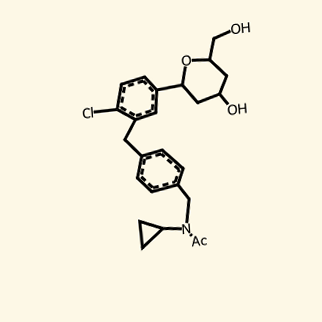 CC(=O)N(Cc1ccc(Cc2cc(C3CC(O)CC(CO)O3)ccc2Cl)cc1)C1CC1